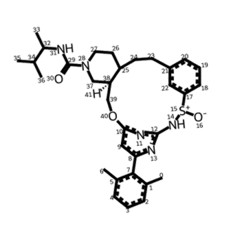 Cc1cccc(C)c1-c1cc2nc(n1)N[S+]([O-])c1cccc(c1)CCC1CCN(C(=O)NC(C)C(C)C)C[C@@H]1CO2